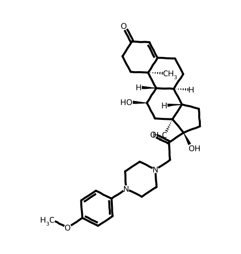 COc1ccc(N2CCN(CC(=O)[C@@]3(O)CC[C@H]4[C@@H]5CCC6=CC(=O)CC[C@]6(C)[C@H]5[C@H](O)C[C@@]43C)CC2)cc1